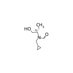 CC[C@@H](CO)N(C=O)CC1CC1